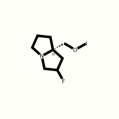 FC1CN2CCC[C@@]2(COI)C1